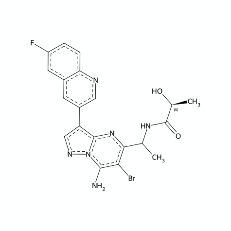 CC(NC(=O)[C@H](C)O)c1nc2c(-c3cnc4ccc(F)cc4c3)cnn2c(N)c1Br